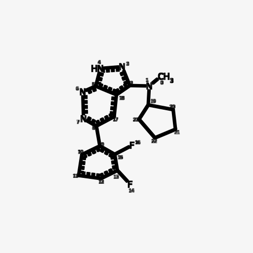 CN(c1n[nH]c2nnc(-c3cccc(F)c3F)cc12)C1CCCC1